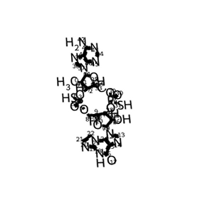 C[C@@H]1[C@@H]2OP(=O)(S)OC[C@H]3O[C@@H](n4cnc5c(=O)[nH]c6nccn6c54)[C@H](O)[C@@H]3OP(=O)(S)OC[C@H]2O[C@H]1n1cnc2c(N)ncnc21